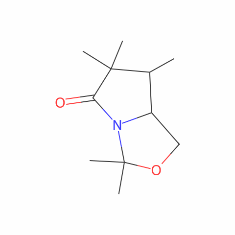 CC1C2COC(C)(C)N2C(=O)C1(C)C